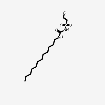 CCCCCCCCCCCCNC(=O)NS(=O)(=O)CCCl